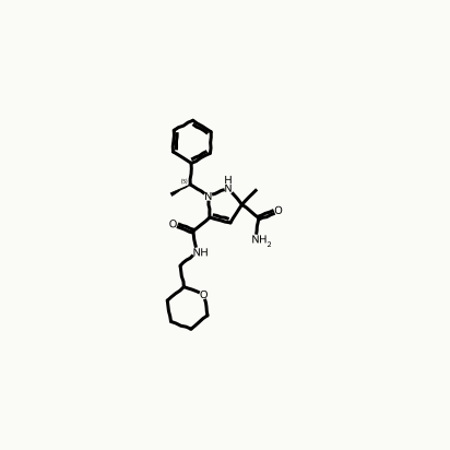 C[C@@H](c1ccccc1)N1NC(C)(C(N)=O)C=C1C(=O)NCC1CCCCO1